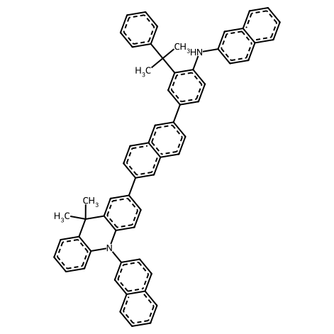 CC(C)(c1ccccc1)c1cc(-c2ccc3cc(-c4ccc5c(c4)C(C)(C)c4ccccc4N5c4ccc5ccccc5c4)ccc3c2)ccc1Nc1ccc2ccccc2c1